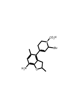 Cc1cc(N)c2c(c1C1=CC(C(C)(C)C)N(C(=O)O)CC1)CC(C)O2